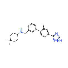 Cc1cc(-c2nc[nH]n2)ccc1-c1cccc(CNC2CCC(C)(C)CC2)c1